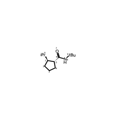 CC(C)[C@@H]1CCC[C@H]1C(=O)NC(C)(C)C